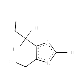 CCc1nc(C)[nH]c1C(C)(C)CC